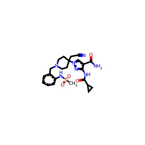 CS(=O)(=O)Nc1ccccc1CN1CCC(CC#N)(n2cc(C(N)=O)c(NC(=O)C3CC3)n2)CC1